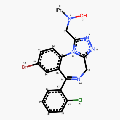 CC(C)N(O)Cc1nnc2n1-c1ccc(Br)cc1C(c1ccccc1Cl)=NC2